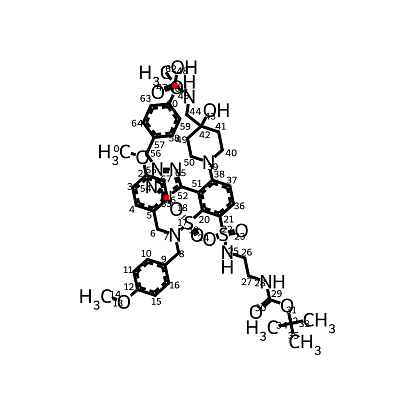 COc1ccc(CN(Cc2ccc(OC)cc2)S(=O)(=O)c2c(S(=O)(=O)NCCNC(=O)OC(C)(C)C)ccc(N3CCC(O)(CNC(=O)O)CC3)c2-c2nnn(Cc3ccc(OC)cc3)n2)cc1